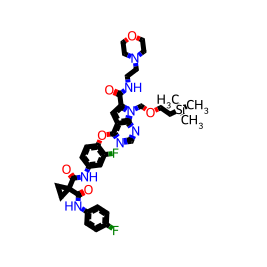 C[Si](C)(C)CCOCn1c(C(=O)NCCN2CCOCC2)cc2c(Oc3ccc(NC(=O)C4(C(=O)Nc5ccc(F)cc5)CC4)cc3F)ncnc21